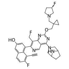 C#Cc1c(F)ccc2cc(O)cc(-c3ncc4c(N5CC6CCC(C5)N6)nc(OCC5(CN6CC[C@@H](F)C6)CC5)nc4c3CF)c12